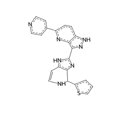 C1=Cc2[nH]c(-c3n[nH]c4ccc(-c5ccncc5)nc34)nc2C(c2cccs2)N1